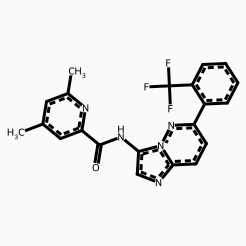 Cc1cc(C)nc(C(=O)Nc2cnc3ccc(-c4ccccc4C(F)(F)F)nn23)c1